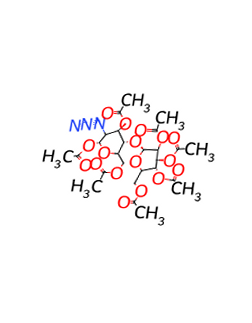 CC(=O)OCC1O[C@H](OC(C)=O)C(N=[N+]=[N-])[C@@H](OC(C)=O)[C@@H]1O[C@@H]1OC(COC(C)=O)[C@@H](OC(C)=O)[C@H](OC(C)=O)C1OC(C)=O